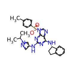 Cc1ccc(S(=O)(=O)n2cnc3c(N[C@H]4CCc5ccccc54)nc(Nc4cnn(C(C)C)c4)nc32)cc1